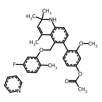 COc1cc(OC(C)=O)ccc1-c1ccc2c(c1COc1cc(F)ccc1C)C(C)=CC(C)(C)N2.c1ccncc1